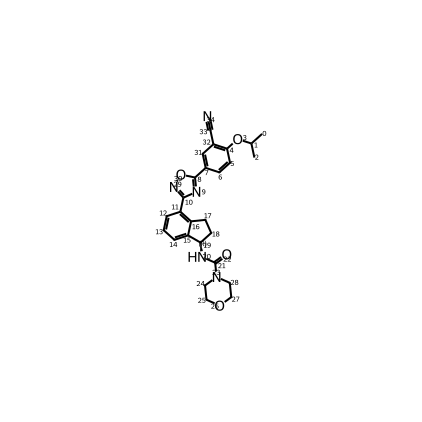 CC(C)Oc1ccc(-c2nc(-c3cccc4c3CC[C@H]4NC(=O)N3CCOCC3)no2)cc1C#N